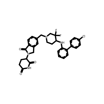 O=C1CCC(N2Cc3cc(CN4CCC(Nc5ccccc5-c5ccc(Cl)cc5)C(F)(F)C4)ccc3C2=O)C(=O)N1